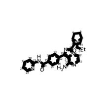 CCC(=O)N1C2CCC1C(c1nc(-c3ccc(C(=O)Nc4ccccn4)cc3)c3c(N)nccn13)C2